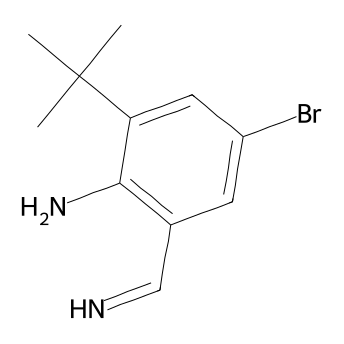 CC(C)(C)c1cc(Br)cc(C=N)c1N